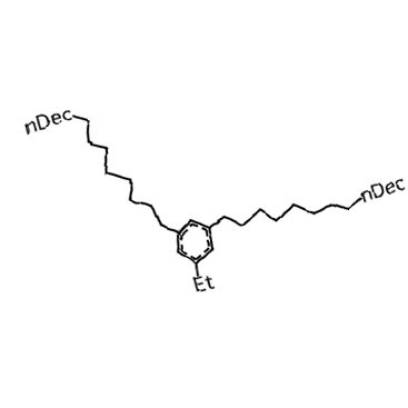 CCCCCCCCCCCCCCCCCCc1cc(CC)cc(CCCCCCCCCCCCCCCCCC)c1